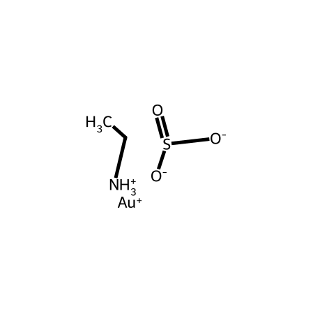 CC[NH3+].O=S([O-])[O-].[Au+]